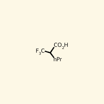 CCCC(C(=O)O)C(F)(F)F